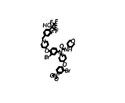 O=C(NC1CCOCC1)N(c1ccc(OC2CCN(Cc3ccc(C(O)(C(F)(F)F)C(F)(F)F)cc3)CC2)c(Br)c1)N1CCC(Oc2ccc([N+](=O)[O-])cc2Br)CC1